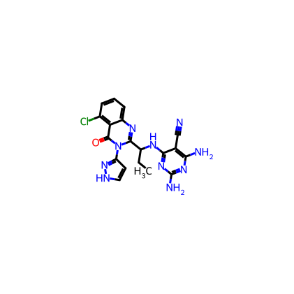 CCC(Nc1nc(N)nc(N)c1C#N)c1nc2cccc(Cl)c2c(=O)n1-c1cc[nH]n1